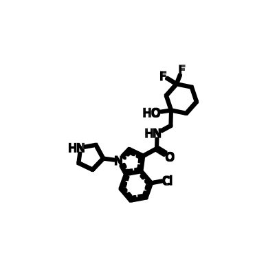 O=C(NCC1(O)CCCC(F)(F)C1)c1cn(C2CCNC2)c2cccc(Cl)c12